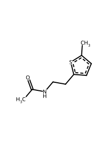 CC(=O)NCCc1ccc(C)s1